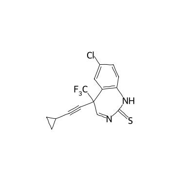 FC(F)(F)C1(C#CC2CC2)C=NC(=S)Nc2ccc(Cl)cc21